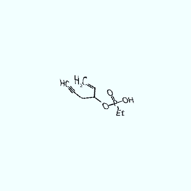 C#CCC(C=C)OP(=O)(O)CC